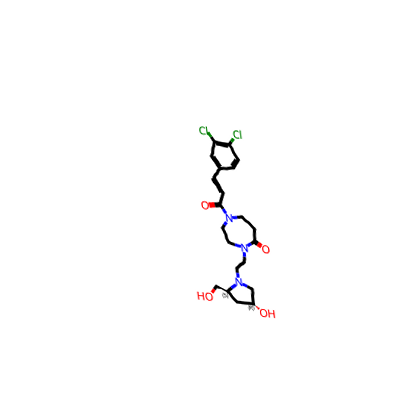 O=C(C=Cc1ccc(Cl)c(Cl)c1)N1CCC(=O)N(CCN2C[C@H](O)C[C@H]2CO)CC1